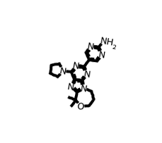 CC1(C)OCCCn2c1nc1c(N3CCCC3)nc(-c3cnc(N)nc3)nc12